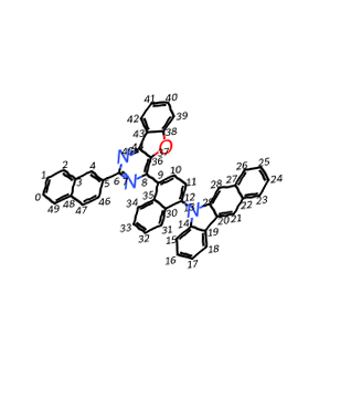 c1ccc2cc(-c3nc(-c4ccc(-n5c6ccccc6c6cc7ccccc7cc65)c5ccccc45)c4oc5ccccc5c4n3)ccc2c1